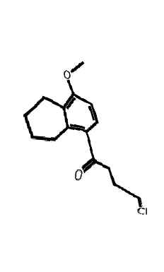 COc1ccc(C(=O)CCCCl)c2c1CCCC2